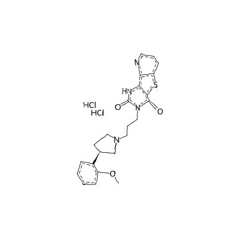 COc1ccccc1[C@H]1CCN(CCCn2c(=O)[nH]c3c(sc4cccnc43)c2=O)C1.Cl.Cl